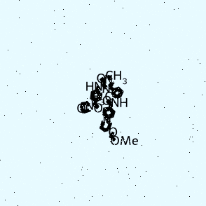 COCOC1CCCN(c2ccc(C(=O)Nc3cccc(-c4cn(C)c(=O)c(Nc5ccc(C(=O)N6CCOCC6)cc5)n4)c3C)cc2)C1